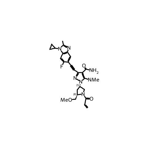 C=CC(=O)N1C[C@@H](n2nc(C#Cc3cc4nc(C)n(C5CC5)c4cc3F)c(C(N)=O)c2NC)C[C@@H]1COC